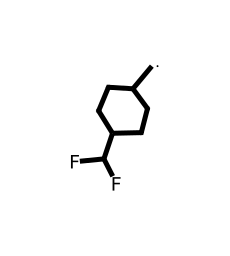 [CH2]C1CCC(C(F)F)CC1